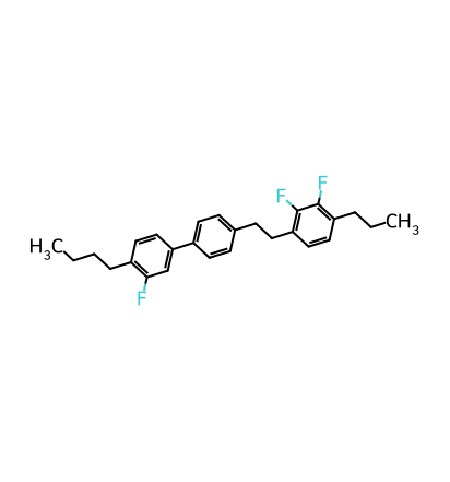 CCCCc1ccc(-c2ccc(CCc3ccc(CCC)c(F)c3F)cc2)cc1F